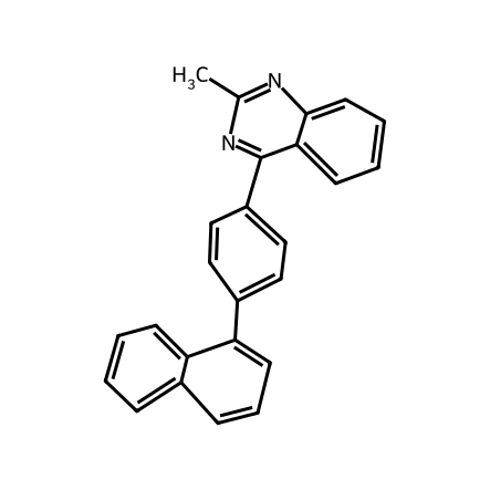 Cc1nc(-c2ccc(-c3cccc4ccccc34)cc2)c2ccccc2n1